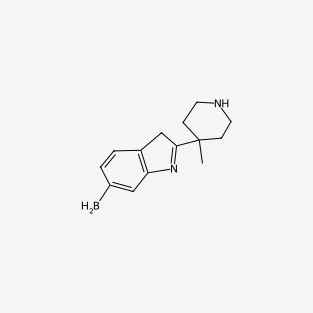 Bc1ccc2c(c1)N=C(C1(C)CCNCC1)C2